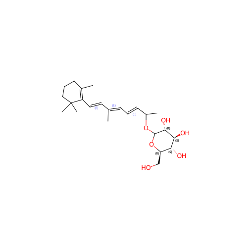 CC1=C(/C=C/C(C)=C/C=C/C(C)OC2O[C@H](CO)[C@@H](O)[C@H](O)[C@H]2O)C(C)(C)CCC1